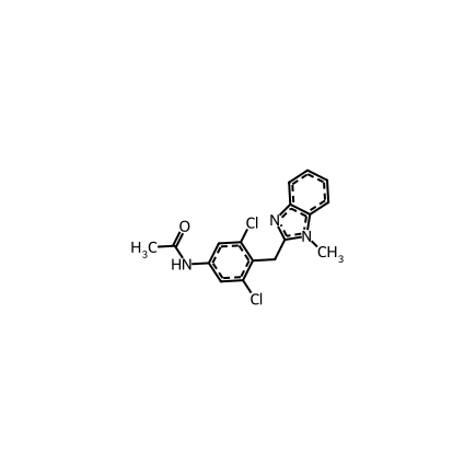 CC(=O)Nc1cc(Cl)c(Cc2nc3ccccc3n2C)c(Cl)c1